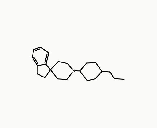 CCCC1CCC(N2CCC3(CCc4ccccc43)CC2)CC1